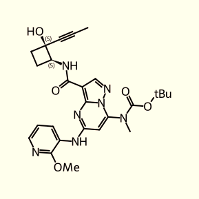 CC#C[C@@]1(O)CC[C@@H]1NC(=O)c1cnn2c(N(C)C(=O)OC(C)(C)C)cc(Nc3cccnc3OC)nc12